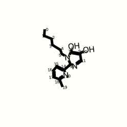 CCCCCCN1C(O)=C(O)C=NC1c1cccc(C)n1